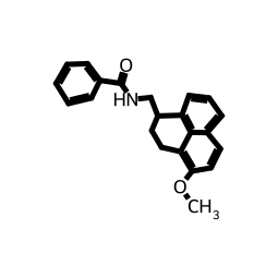 COc1ccc2cccc3c2c1CCC3CNC(=O)c1ccccc1